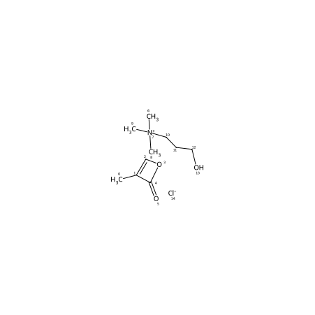 CC1=COC1=O.C[N+](C)(C)CCCO.[Cl-]